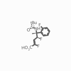 CC(C)(C)[S@@+]([O-])N[C@](C)(c1ccccc1F)[C@@H](F)C=C(F)C(=O)O